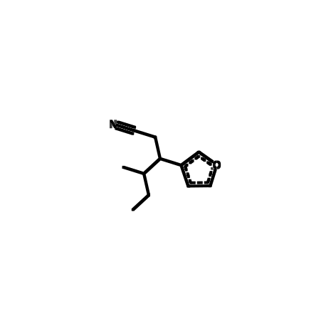 CCC(C)C(CC#N)c1ccoc1